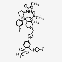 COC(=O)N[C@H]1CCC[C@@H]1C(CN(C)C(C)=O)(c1cccc(F)c1)C1CCN(CC2CN(c3ccc(S(C)(=O)=O)c(CN4CC(F)C4)c3)C2)CC1